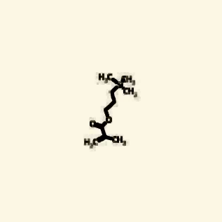 C=C(C)C(=O)OCC[CH][Si](C)(C)C